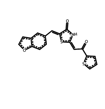 O=C(/C=c1\[nH]c(=O)/c(=C/c2ccc3occc3c2)s1)c1cccs1